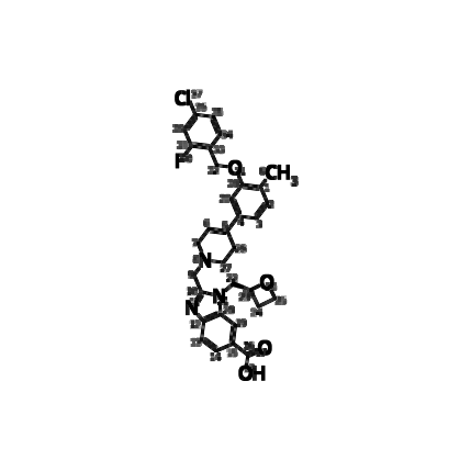 Cc1ccc(C2=CCN(Cc3nc4ccc(C(=O)O)cc4n3C[C@@H]3CCO3)CC2)cc1OCc1ccc(Cl)cc1F